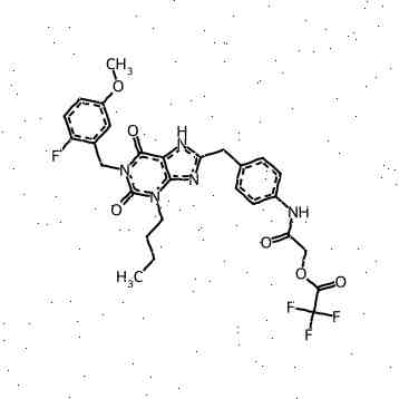 CCCCn1c(=O)n(Cc2cc(OC)ccc2F)c(=O)c2[nH]c(Cc3ccc(NC(=O)COC(=O)C(F)(F)F)cc3)nc21